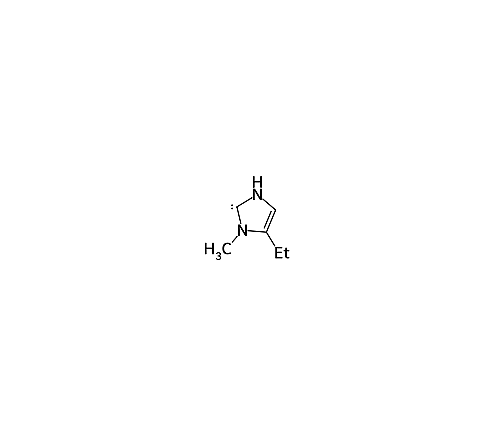 CCC1=CN[C]N1C